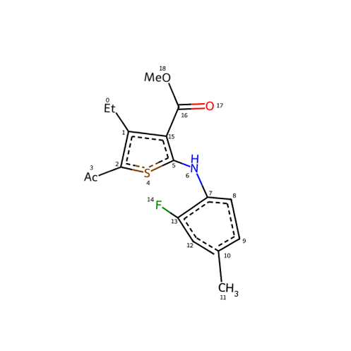 CCc1c(C(C)=O)sc(Nc2ccc(C)cc2F)c1C(=O)OC